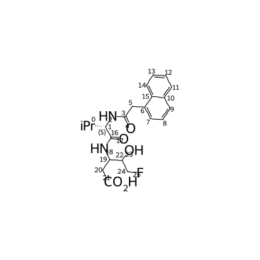 CC(C)[C@H](NC(=O)Cc1cccc2ccccc12)C(=O)NC(CC(=O)O)C(O)CF